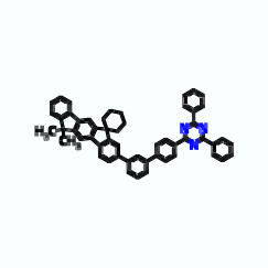 CC1(C)c2ccccc2-c2cc3c(cc21)-c1ccc(-c2cccc(-c4ccc(-c5nc(-c6ccccc6)nc(-c6ccccc6)n5)cc4)c2)cc1C31CCCCC1